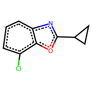 Clc1c[c]cc2nc(C3CC3)oc12